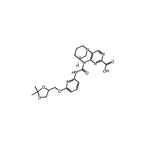 CC1(C)OCC(COc2cccc(NC(=O)N3c4nc(C(=O)O)ncc4N4CCC[C@H]3C4)n2)O1